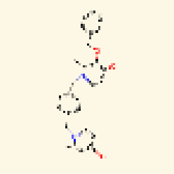 Cc1c(C)n(Cc2ccc(Cn3ccc(=O)c(OCc4ccccc4)c3C)cc2)ccc1=O